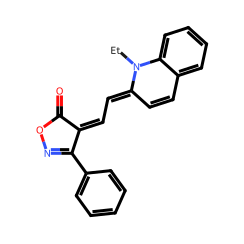 CCN1/C(=C/C=C2\C(=O)ON=C2c2ccccc2)C=Cc2ccccc21